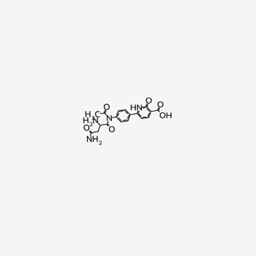 CC(=O)N(C(=O)[C@H](N)CC(N)=O)c1ccc(-c2ccc(C(=O)O)c(=O)[nH]2)cc1